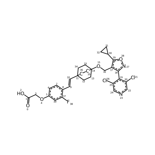 O=C(O)COc1ccc(C=CC23CCC(OCc4c(-c5c(Cl)cncc5Cl)noc4C4CC4)(CC2)CC3)c(F)c1